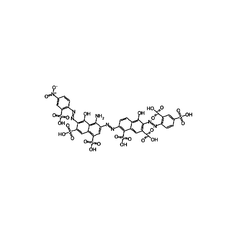 Nc1c(N=Nc2ccc3c(O)c(N=Nc4ccc(S(=O)(=O)O)cc4S(=O)(=O)O)c(S(=O)(=O)O)cc3c2S(=O)(=O)O)cc(S(=O)(=O)O)c2cc(S(=O)(=O)O)c(N=Nc3ccc([N+](=O)[O-])cc3S(=O)(=O)O)c(O)c12